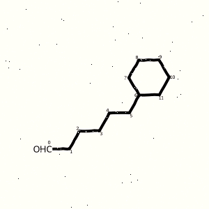 O=CCCCCCC1CCCCC1